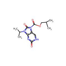 CC(C)COC(=O)n1c(=O)n(C(C)C)c2nc(=O)[nH]cc21